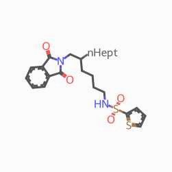 CCCCCCCC(CCCCNS(=O)(=O)c1cccs1)CN1C(=O)c2ccccc2C1=O